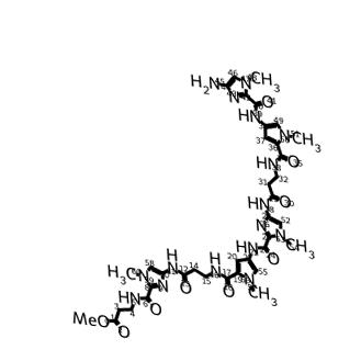 COC(=O)CCNC(=O)c1nc(NC(=O)CCNC(=O)c2cc(NC(=O)c3nc(NC(=O)CCNC(=O)c4cc(NC(=O)c5nc(N)cn5C)cn4C)cn3C)cn2C)cn1C